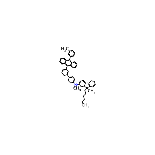 CCCCCCC1(C)C2=C(CCC=C2)C2=CC=C(N(C)C3=CC=C(C4=CC(c5c6ccccc6c(-c6cccc(C)c6)c6ccccc56)=CCC4)CC3)CC21